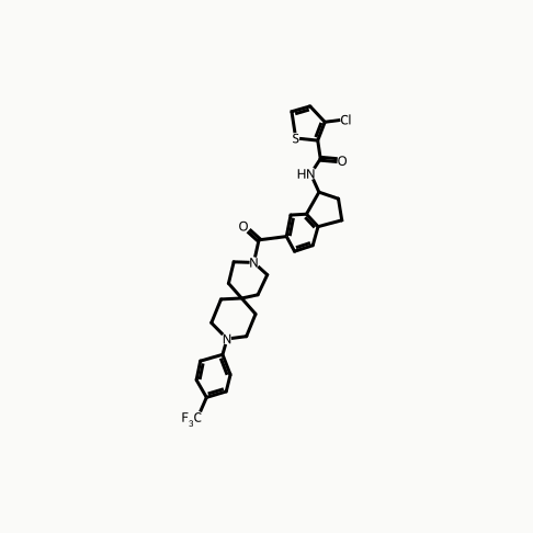 O=C(NC1CCc2ccc(C(=O)N3CCC4(CC3)CCN(c3ccc(C(F)(F)F)cc3)CC4)cc21)c1sccc1Cl